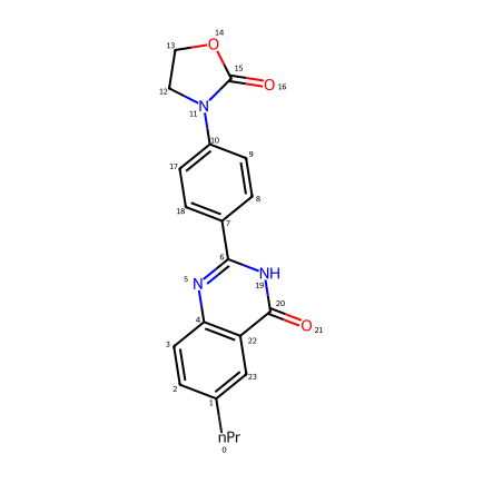 CCCc1ccc2nc(-c3ccc(N4CCOC4=O)cc3)[nH]c(=O)c2c1